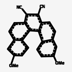 COc1ccc2c(ccc3c(C#N)c(C#N)c4ccc5cc(OC)ccc5c4c32)c1